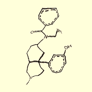 CC(C)CN(C(=O)c1ccccc1)C1CCC2CN(C)CCC2(c2cccc(O)c2)C1